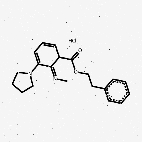 CN=C1C(N2CCCC2)=CC=CC1C(=O)OCCc1ccccc1.Cl